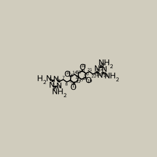 Nc1nc(N)nc(CCC2C(=O)CC3(CC2=O)CC(=O)C(CCc2nc(N)nc(N)n2)C(=O)C3)n1